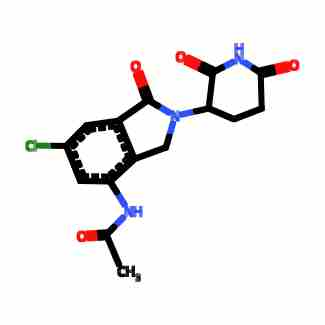 CC(=O)Nc1cc(Cl)cc2c1CN(C1CCC(=O)NC1=O)C2=O